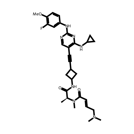 COc1ccc(Nc2ncc(C#CC3CC(NC(=O)[C@H](C)N(C)C(=O)/C=C/CN(C)C)C3)c(NC3CC3)n2)cc1F